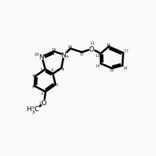 COc1ccc2c(c1)CN(CCOc1ccccc1)C=N2